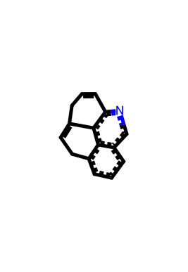 C1=Cc2ncc3cccc4c3c2C(=CC4)C1